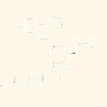 COC(=O)Nc1ccc(-c2nc([C@H](CC(=O)N3CCC3)NC(=O)/C=C/c3cc(Cl)ccc3-n3cnnn3)[nH]c2Cl)cc1